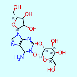 NC1c2ncn([C@@H]3O[C@H](CO)C(O)C3O)c2N=CN1O[C@H]1O[C@H](CO)[C@H](O)[C@H](O)[C@H]1O